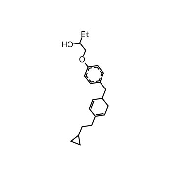 CCC(O)COc1ccc(CC2C=CC(CCC3CC3)=CC2)cc1